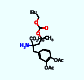 CCC(C)COC(=O)O[C@@H](C)CC(N)(Cc1ccc(OC(C)=O)c(OC(C)=O)c1)C(=O)O